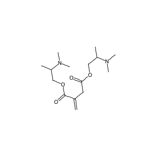 C=C(CC(=O)OCC(C)N(C)C)C(=O)OCC(C)N(C)C